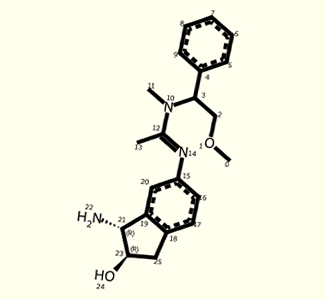 COCC(c1ccccc1)N(C)C(C)=Nc1ccc2c(c1)[C@@H](N)[C@H](O)C2